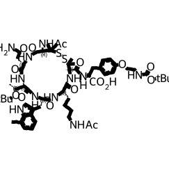 CC(=O)NCCCC[C@@H]1NC(=O)[C@H](Cc2c[nH]c3c(C)cccc23)NC(=O)[C@H]([C@@H](C)OC(C)(C)C)NC(=O)[C@H](CC(N)=O)NC(=O)[C@@H](NC(C)=O)C(C)(C)SSC(C)(C)[C@@H](C(=O)N[C@@H](Cc2ccc(OCCNC(=O)OC(C)(C)C)cc2)C(=O)O)NC1=O